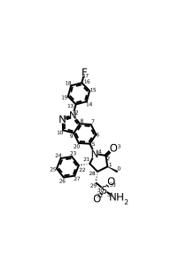 C[C@@H]1C(=O)N(c2ccc3c(cnn3-c3ccc(F)cc3)c2)[C@@H](c2ccccc2)[C@H]1CS(N)(=O)=O